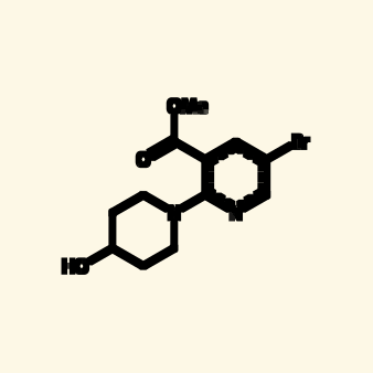 COC(=O)c1cc(Br)cnc1N1CCC(O)CC1